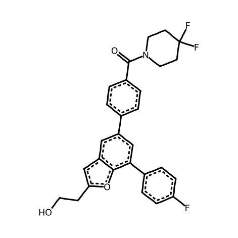 O=C(c1ccc(-c2cc(-c3ccc(F)cc3)c3oc(CCO)cc3c2)cc1)N1CCC(F)(F)CC1